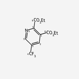 CCOC(=O)c1cc(C(F)(F)F)cnc1C(=O)OCC